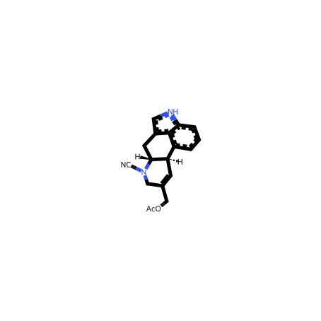 CC(=O)OCC1=C[C@@H]2c3cccc4[nH]cc(c34)C[C@H]2N(C#N)C1